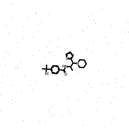 CCC(C)(C)c1ccc(C(=O)NC(C)C(c2cccs2)N2CCCCC2)cc1